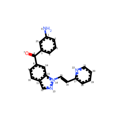 Nc1cccc(C(=O)c2ccc3cnn(C=Cc4ccccn4)c3c2)c1